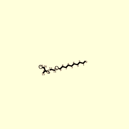 CCCCCCCCCCOCCS[C](C)C=O